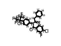 O=c1c2cc(F)c(Cl)cc2nc(Cc2ccccc2)n1-c1ccc(C(O)(C(F)(F)F)C(F)(F)F)cc1